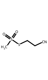 CS(=O)(=O)SCCC#N